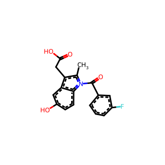 Cc1c(CC(=O)O)c2cc(O)ccc2n1C(=O)c1cccc(F)c1